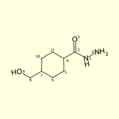 NNC(=O)C1CCC(CO)CC1